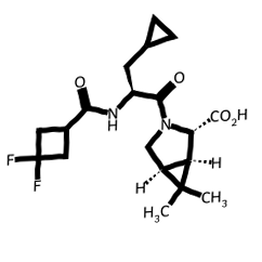 CC1(C)[C@@H]2[C@@H](C(=O)O)N(C(=O)[C@H](CC3CC3)NC(=O)C3CC(F)(F)C3)C[C@@H]21